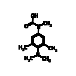 Cc1cc(N(C)C(=O)O)cc(C)c1N(C)C